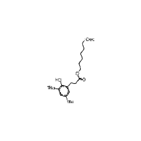 CCCCCCCCCCCCCCCCOC(=O)CCc1cc(C(C)(C)C)cc(C(C)(C)C)c1O